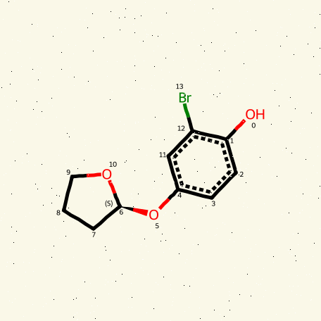 Oc1ccc(O[C@H]2CCCO2)cc1Br